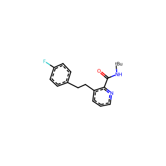 CC(C)(C)NC(=O)c1ncccc1CCc1ccc(F)cc1